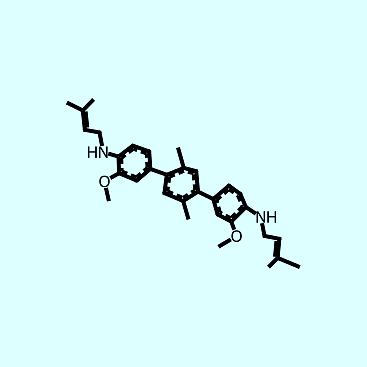 COc1cc(-c2cc(C)c(-c3ccc(NCC=C(C)C)c(OC)c3)cc2C)ccc1NCC=C(C)C